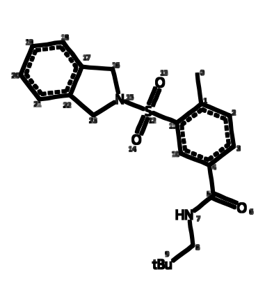 Cc1ccc(C(=O)NCC(C)(C)C)cc1S(=O)(=O)N1Cc2ccccc2C1